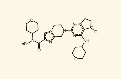 CCCN(C(=O)c1cn2c(n1)CN(c1nc3c(c(NC4CCOCC4)n1)[S+]([O-])CC3)CC2)C1CCOCC1